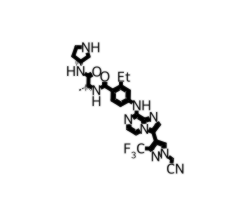 CCc1cc(Nc2nccn3c(-c4cn(CC#N)nc4C(F)(F)F)cnc23)ccc1C(=O)N[C@H](C)C(=O)N[C@@H]1CCNC1